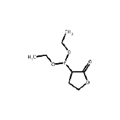 CCOP(OCC)C1CCOC1=O